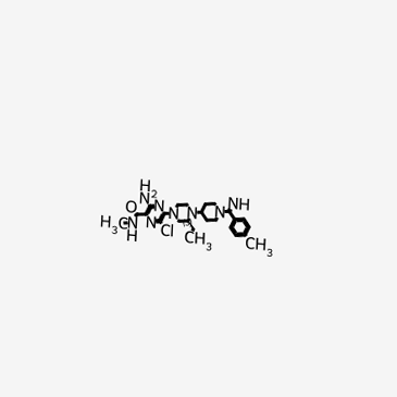 CC[C@H]1CN(c2nc(N)c(C(=O)NC)nc2Cl)CCN1C1CCN(C(=N)c2ccc(C)cc2)CC1